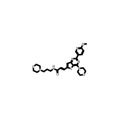 COc1ccc(-c2nc(N3CCOCC3)c3sc(/C=C/C(=O)NCCCN4CCOCC4)cc3n2)cn1